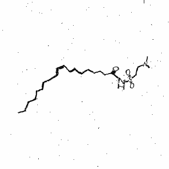 CCCCCCCC/C=C\CCCCCCCC(=O)NS(=O)(=O)CCN(C)C